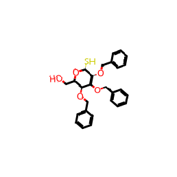 OCC1O[C@H](S)[C@H](OCc2ccccc2)C(OCc2ccccc2)[C@H]1OCc1ccccc1